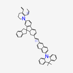 C=CC1=C(/C=C\C)N(c2ccc3c(c2)C2(Cc4ccccc4C2)C2CC(/C=C/c4ccc5cc(N6c7ccccc7C(C)(C)c7ccccc76)ccc5c4)=CC=C32)CCC1